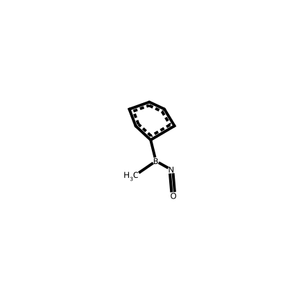 CB(N=O)c1ccccc1